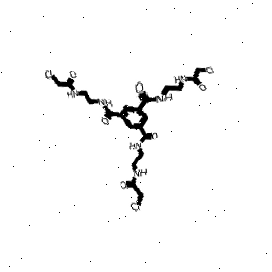 O=C(CCl)NCCNC(=O)c1cc(C(=O)NCCNC(=O)CCl)cc(C(=O)NCCNC(=O)CCl)c1